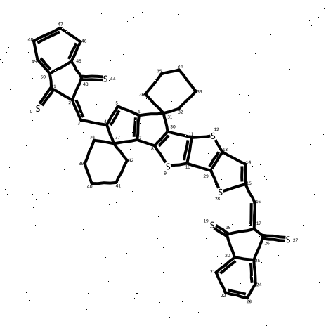 S=C1C(=CC2=CC3=C(c4sc5c(sc6cc(C=C7C(=S)c8ccccc8C7=S)sc65)c4C34CCCCC4)C23CCCCC3)C(=S)c2ccccc21